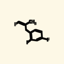 C/C(=C/F)Cc1ccc(F)cc1F